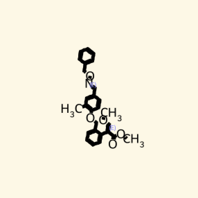 CO/C=C(/C(=O)OC)c1ccccc1COc1ccc(/C=N/OCc2ccccc2)cc1C